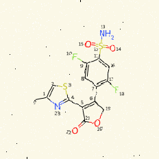 Cc1csc(C2=C(c3cc(F)c(S(N)(=O)=O)cc3F)COC2=O)n1